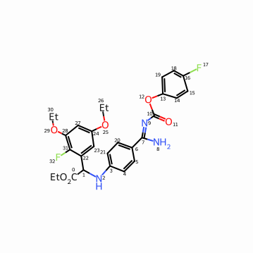 CCOC(=O)C(Nc1ccc(/C(N)=N/C(=O)Oc2ccc(F)cc2)cc1)c1cc(OCC)cc(OCC)c1F